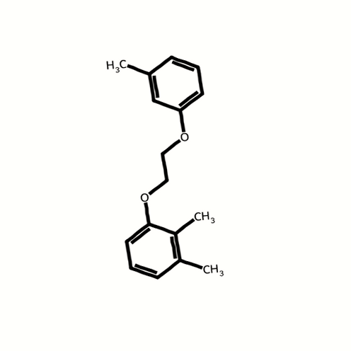 Cc1cccc(OCCOc2cccc(C)c2C)c1